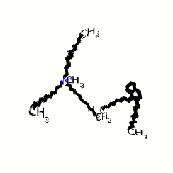 CCCCCCCCCCCC[N+](C)(CCCCCCCCCCCC)CCCCCCCCCCCC.CCCCCCCCCc1ccc2ccccc2c1CCCCCCCCC